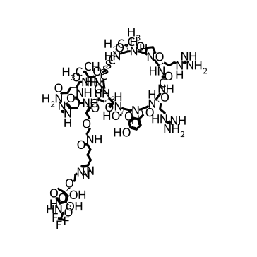 CC(C)C[C@@H]1NC(=O)[C@@H](NC(=O)[C@@H](NC(=O)[C@H](CCC(N)=O)NC(=O)[C@H](Cc2cnc[nH]2)NC(=O)CCOCCNC(=O)CCCc2cn(CCOC[C@@]34CO[C@@H](O3)[C@@H](NC(=O)C(F)(F)F)[C@@H](O)[C@H]4O)nn2)C(C)C)CSSCNC(=O)[C@H](C(C)C)NC(=O)[C@@H]2CCCN2C(=O)[C@H](CCCNC(=N)N)NC(=O)CNC(=O)[C@H](CCCNC(=N)N)NC(=O)[C@@H](Cc2ccc(O)cc2)NC(=O)[C@H](CO)NC1=O